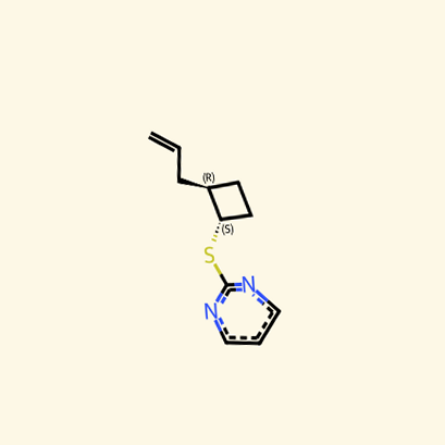 C=CC[C@H]1CC[C@@H]1Sc1ncccn1